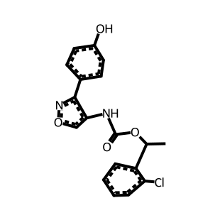 CC(OC(=O)Nc1conc1-c1ccc(O)cc1)c1ccccc1Cl